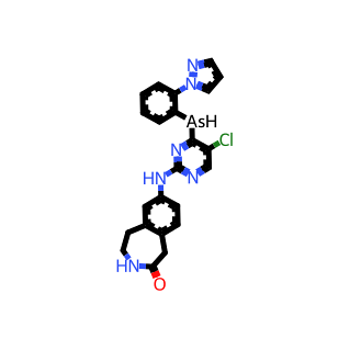 O=C1Cc2ccc(Nc3ncc(Cl)c([AsH]c4ccccc4-n4cccn4)n3)cc2CCN1